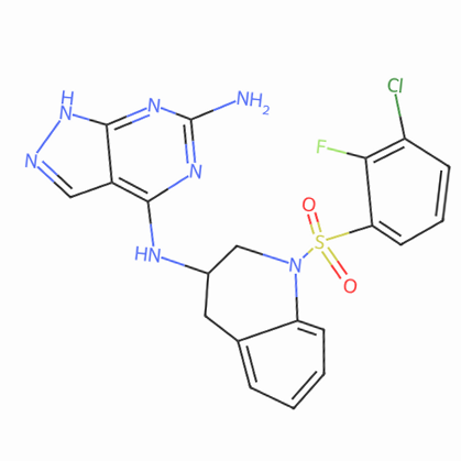 Nc1nc(NC2Cc3ccccc3N(S(=O)(=O)c3cccc(Cl)c3F)C2)c2cn[nH]c2n1